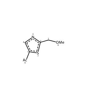 COCc1ncc(C(C)=O)s1